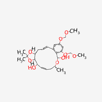 COCOc1cc2c(c(OCOC)c1)C(O)O[C@@H](C)C/C=C\C(O)[C@H]1OC(C)(C)O[C@H]1C/C=C/2